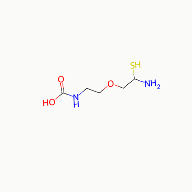 NC(S)COCCNC(=O)O